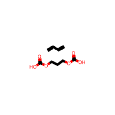 C=CC=C.O=C(O)OCCCOC(=O)O